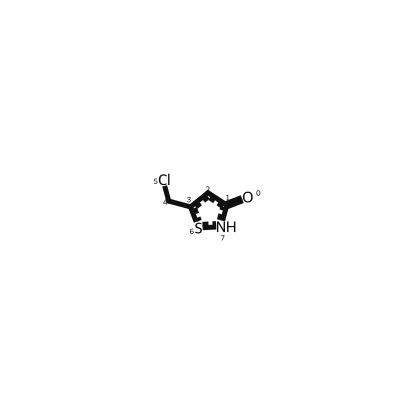 O=c1cc(CCl)s[nH]1